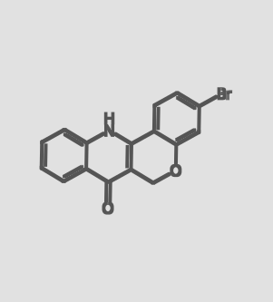 O=c1c2c([nH]c3ccccc13)-c1ccc(Br)cc1OC2